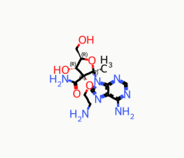 C[C@@]1(n2cnc3c(N)ncnc32)O[C@H](CO)[C@@H](O)[C@]1(OCCN)C(N)=O